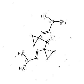 CN(C)C=CC1(C(=O)C2(C=CN(C)C)CC2)CC1